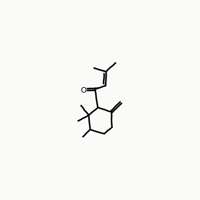 C=C1CCC(C)C(C)(C)C1C(=O)C=C(C)C